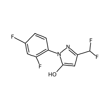 Oc1cc(C(F)F)nn1-c1ccc(F)cc1F